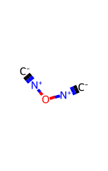 [C-]#[N+]O[N+]#[C-]